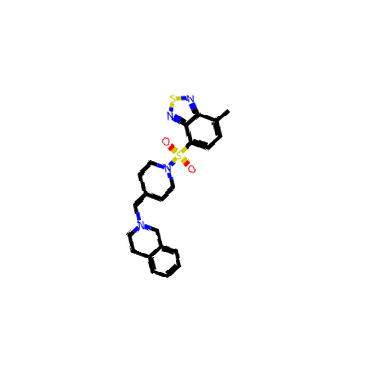 Cc1ccc(S(=O)(=O)N2CCC(CN3CCc4ccccc4C3)CC2)c2nsnc12